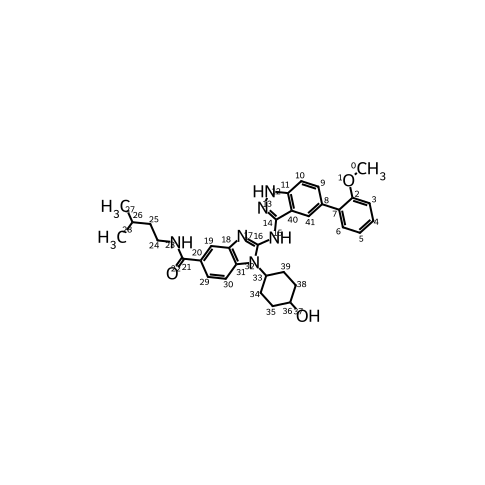 COc1ccccc1-c1ccc2[nH]nc(Nc3nc4cc(C(=O)NCCC(C)C)ccc4n3C3CCC(O)CC3)c2c1